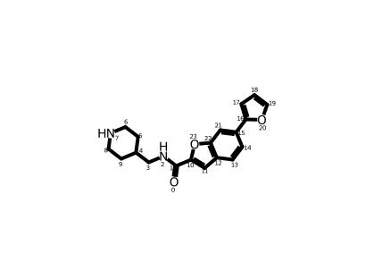 O=C(NCC1CCNCC1)c1cc2ccc(-c3ccco3)cc2o1